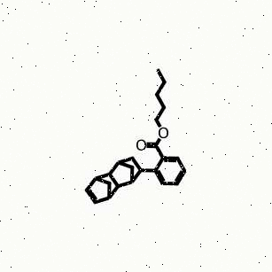 CCCCCOC(=O)c1ccccc1C1CC2CC1C1C3C=CC(C3)C21